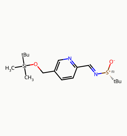 CC(C)(C)[S@@+]([O-])N=Cc1ccc(CO[Si](C)(C)C(C)(C)C)cn1